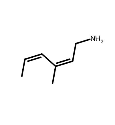 C/C=C\C(C)=C/CN